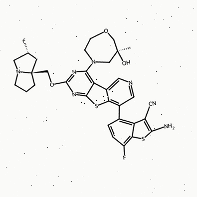 C[C@@]1(O)COCCN(c2nc(OC[C@@]34CCCN3C[C@H](F)C4)nc3sc4c(-c5ccc(F)c6sc(N)c(C#N)c56)cncc4c23)C1